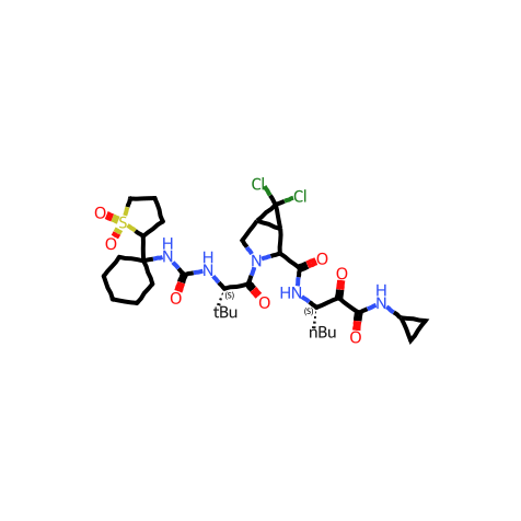 CCCC[C@H](NC(=O)C1C2C(CN1C(=O)[C@@H](NC(=O)NC1(C3CCCS3(=O)=O)CCCCC1)C(C)(C)C)C2(Cl)Cl)C(=O)C(=O)NC1CC1